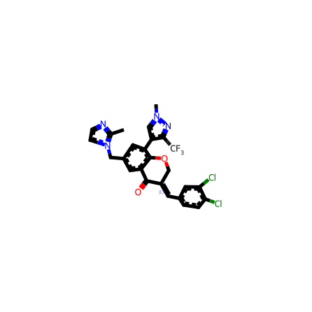 Cc1nccn1Cc1cc2c(c(-c3cn(C)nc3C(F)(F)F)c1)OC/C(=C\c1ccc(Cl)c(Cl)c1)C2=O